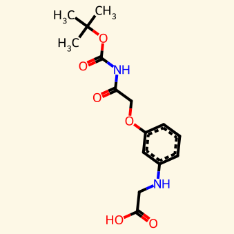 CC(C)(C)OC(=O)NC(=O)COc1cccc(NCC(=O)O)c1